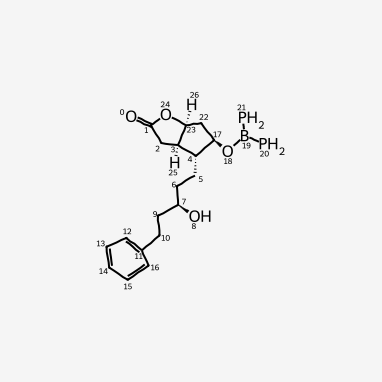 O=C1C[C@@H]2[C@@H](CC[C@@H](O)CCc3ccccc3)[C@H](OB(P)P)C[C@@H]2O1